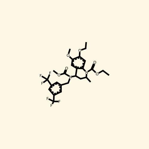 CCOC(=O)N1c2cc(OCC)c(OC)cc2C(N(Cc2cc(C(F)(F)F)cc(C(F)(F)F)c2)C(=O)OC)CC1C